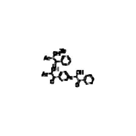 CC(=O)C(O)C(=O)c1ccccc1.CC(=O)C(O)C(=O)c1ccccc1.CC(=O)C(O)C(=O)c1ccccc1.[Tb]